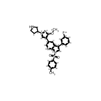 COc1nn(C2CCNC2)cc1-c1cnc2c(c1)c(-c1cccc(F)c1)cn2S(=O)(=O)c1ccc(C)cc1